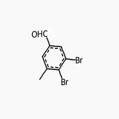 Cc1cc(C=O)cc(Br)c1Br